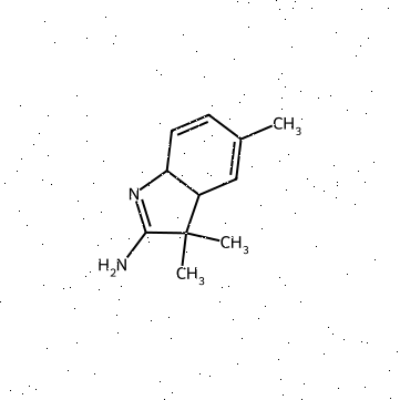 CC1=CC2C(C=C1)N=C(N)C2(C)C